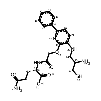 NC(=O)CC[C@H](NC(=O)COc1nc(-c2ccccc2)ccc1NCC(N)CS)C(=O)O